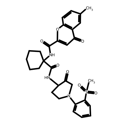 Cc1ccc2oc(C(=O)NC3(C(=O)NC4CCN(c5ccccc5S(C)(=O)=O)CC4=O)CCCCC3)cc(=O)c2c1